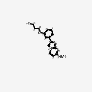 CNc1ccn2cc(-c3cccc(OCCCF)c3)nc2n1